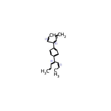 C=C/C=C(\C=C/C)c1ccc(C(/C=C\C)=C/C=C)cc1